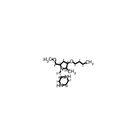 CCCCOC1CC(COC)N(C[C@H]2CNCCN2)C1C